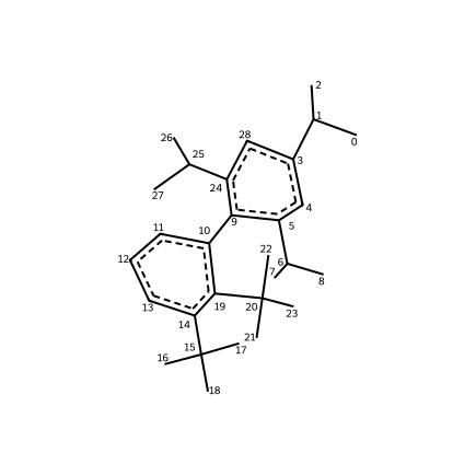 CC(C)c1cc(C(C)C)c(-c2cccc(C(C)(C)C)c2C(C)(C)C)c(C(C)C)c1